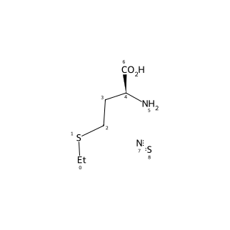 CCSCC[C@H](N)C(=O)O.[N].[S]